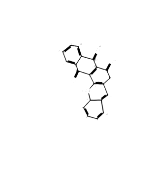 O=C1[CH]C2=C(NC3C=CC=CC3=C2)C2=C1C(=O)c1ccccc1C2=O